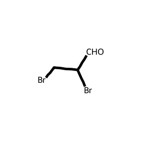 O=CC(Br)CBr